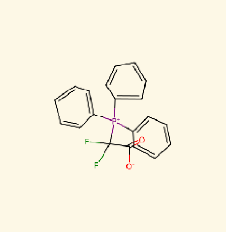 O=C([O-])C(F)(F)[P+](c1ccccc1)(c1ccccc1)c1ccccc1